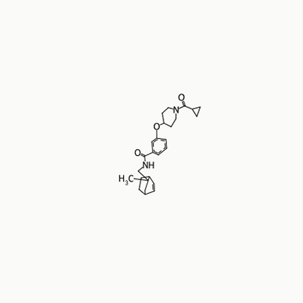 CC1(CNC(=O)c2cccc(OC3CCN(C(=O)C4CC4)CC3)c2)CC2C=CC1CC2